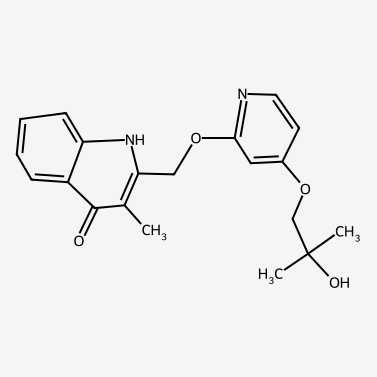 Cc1c(COc2cc(OCC(C)(C)O)ccn2)[nH]c2ccccc2c1=O